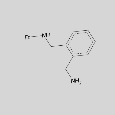 CCNCc1ccccc1CN